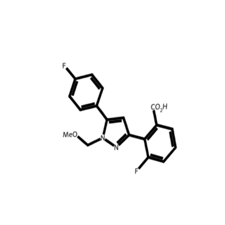 COCn1nc(-c2c(F)cccc2C(=O)O)cc1-c1ccc(F)cc1